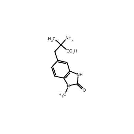 Cn1c(=O)[nH]c2cc(CC(C)(N)C(=O)O)ccc21